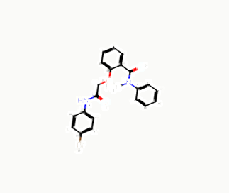 CN(C(=O)c1ccccc1OCC(=O)Nc1ccc(Br)cc1)c1ccccc1